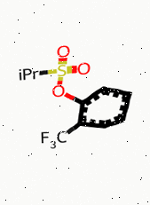 CC(C)S(=O)(=O)Oc1ccccc1C(F)(F)F